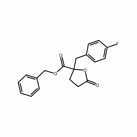 O=C1CCC(Cc2ccc(F)cc2)(C(=O)OCc2ccccc2)O1